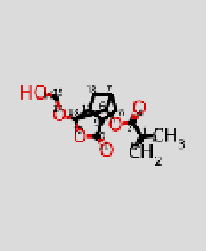 C=C(C)C(=O)OC1C2CC3C(=O)OC1(OCO)C3C2